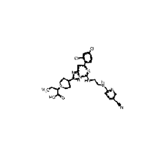 CCC(C(=O)O)N1CCC(c2nc3cc(-c4ccc(Cl)cc4Cl)nc(NCCNc4ccc(C#N)cn4)n3n2)CC1